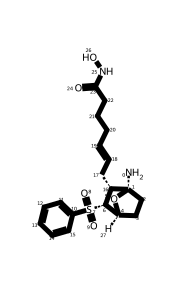 N[C@]12CC[C@H](O1)[C@H](S(=O)(=O)c1ccccc1)[C@@H]2CC=CCCCC(=O)NO